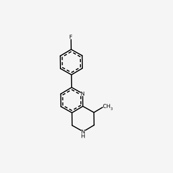 CC1CNCc2ccc(-c3ccc(F)cc3)nc21